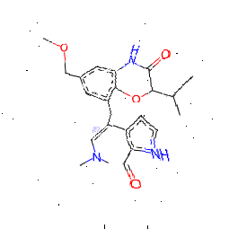 COCc1cc2c(c(/C(=C/N(C)C)c3cc[nH]c3C=O)c1)OC(C(C)C)C(=O)N2